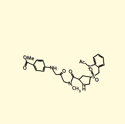 COC(=O)c1ccc(NCC(=O)CN(C)C(=O)C2CC(S(=O)(=O)Cc3ccccc3SC(C)=O)CN2)cc1